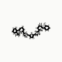 Cc1ccccc1-c1cccc(-c2nnc(-c3ccc(-c4nnc(-c5cccc(-c6ccccc6C(F)(F)F)n5)s4)s3)s2)n1